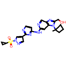 CC1(n2c(CO)nc3cnc(Nc4ccnc(-c5cnn(S(=O)(=O)C6CC6)c5)n4)cc32)CCC1